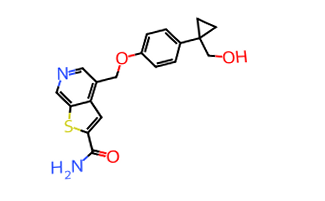 NC(=O)c1cc2c(COc3ccc(C4(CO)CC4)cc3)cncc2s1